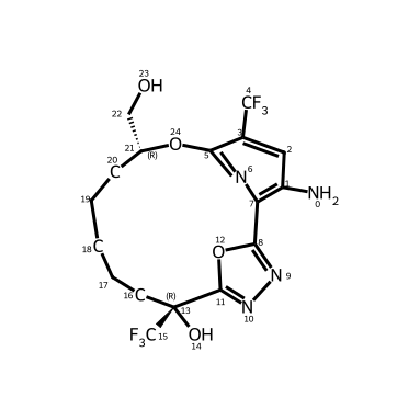 Nc1cc(C(F)(F)F)c2nc1-c1nnc(o1)[C@@](O)(C(F)(F)F)CCCCC[C@H](CO)O2